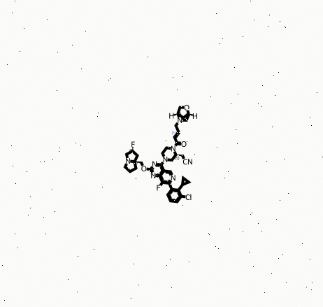 N#CC[C@H]1CN(c2nc(OC[C@@]34CCCN3C[C@H](F)C4)nc3c(F)c(-c4cccc(Cl)c4C4CC4)ncc23)CCN1C(=O)/C=C/CN1C[C@@H]2C[C@H]1CO2